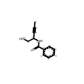 CC#CC(CO)NC(=O)c1ccccc1